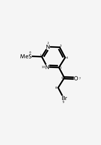 CSc1nccc(C(=O)CBr)n1